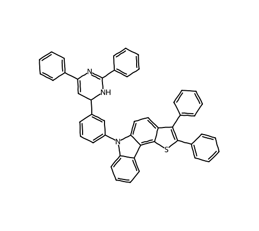 C1=C(c2ccccc2)N=C(c2ccccc2)NC1c1cccc(-n2c3ccccc3c3c4sc(-c5ccccc5)c(-c5ccccc5)c4ccc32)c1